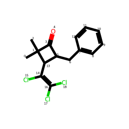 CC1(C)C(=O)C(Cc2ccccc2)C1C(Cl)=C(Cl)Cl